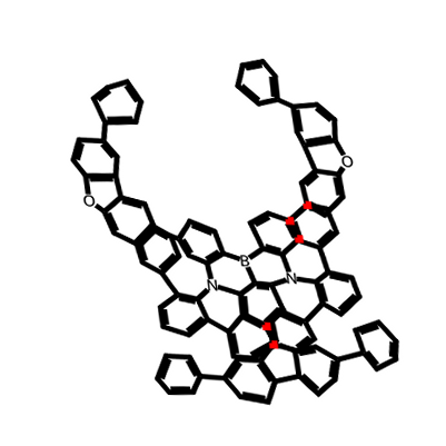 c1ccc(-c2ccc3oc4ccc(-c5ccc6c(c5)N(c5c(-c7ccccc7)cccc5-c5ccccc5)c5cc(-n7c8cc(-c9ccccc9)ccc8c8ccc(-c9ccccc9)cc87)cc7c5B6c5ccc(-c6ccc8oc9ccc(-c%10ccccc%10)cc9c8c6)cc5N7c5c(-c6ccccc6)cccc5-c5ccccc5)cc4c3c2)cc1